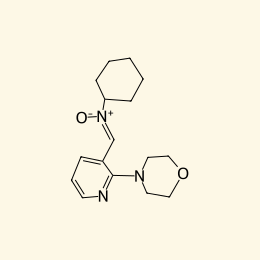 [O-][N+](=Cc1cccnc1N1CCOCC1)C1CCCCC1